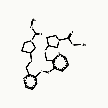 CC(C)(C)OC(=O)N1CCC(SCc2ncccc2SSc2cccnc2CSC2CCN(C(=O)OC(C)(C)C)C2)C1